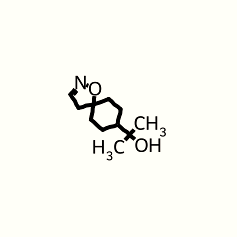 CC(C)(O)C1CCC2(CC=NO2)CC1